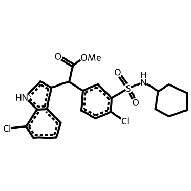 COC(=O)C(c1ccc(Cl)c(S(=O)(=O)NC2CCCCC2)c1)c1c[nH]c2c(Cl)cccc12